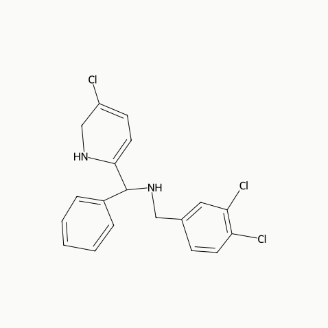 ClC1=CC=C(C(NCc2ccc(Cl)c(Cl)c2)c2ccccc2)NC1